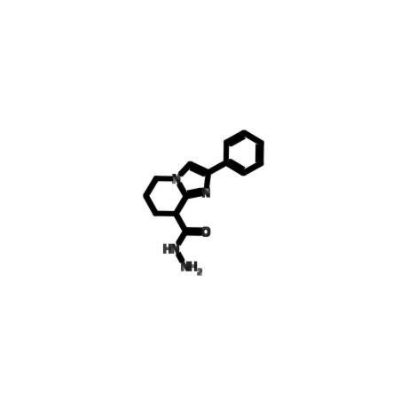 NNC(=O)C1CCCn2cc(-c3ccccc3)nc21